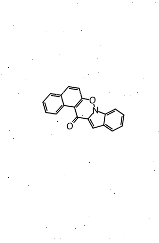 O=c1c2c(ccc3ccccc32)on2c1cc1ccccc12